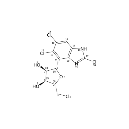 O[C@@H]1[C@H](O)[C@@H](CCl)O[C@H]1c1c(Cl)c(Cl)cc2[nH]c(Cl)nc12